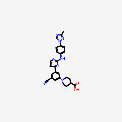 Cc1ncn(-c2ccc(Nc3nccc(-c4cc(C#N)cc(N5CCC(C(=O)O)CC5)c4)n3)cc2)n1